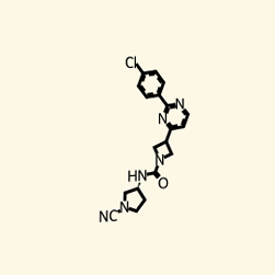 N#CN1CC[C@@H](NC(=O)N2CC(c3ccnc(-c4ccc(Cl)cc4)n3)C2)C1